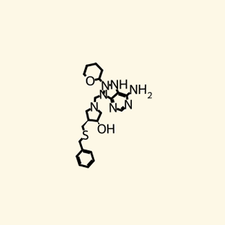 Nc1ncnc2c1NN(C1CCCCO1)N2CN1C[C@H](CSCc2ccccc2)[C@@H](O)C1